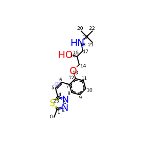 Cc1nnc(/C=C\c2ccccc2OCC(O)CNC(C)(C)C)s1